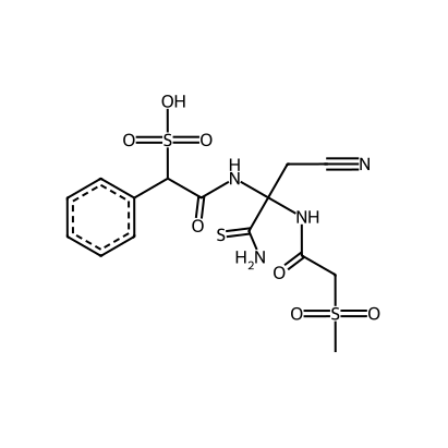 CS(=O)(=O)CC(=O)NC(CC#N)(NC(=O)C(c1ccccc1)S(=O)(=O)O)C(N)=S